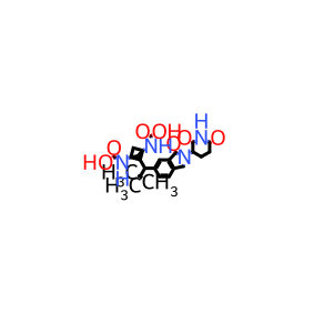 CC(C)(C)C(c1ccc2c(c1)C(=O)N(C1CCC(=O)NC1=O)C2)C1C2(NC(=O)O)CC1(NC(=O)O)C2